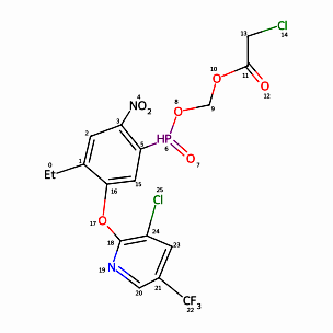 CCc1cc([N+](=O)[O-])c([PH](=O)OCOC(=O)CCl)cc1Oc1ncc(C(F)(F)F)cc1Cl